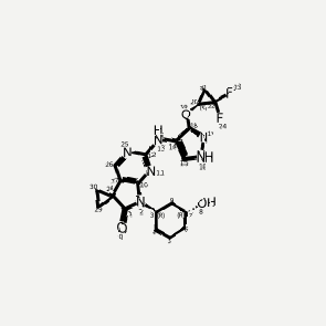 O=C1N([C@@H]2CCC[C@@H](O)C2)c2nc(Nc3c[nH]nc3O[C@H]3CC3(F)F)ncc2C12CC2